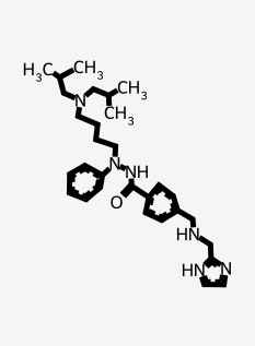 CC(C)CN(CCCCN(NC(=O)c1ccc(CNCc2ncc[nH]2)cc1)c1ccccc1)CC(C)C